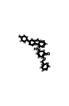 CN1CCN(c2ccc3c(c2)sc2ncnc(Nc4ccc(OCc5ccccn5)c(Cl)c4)c23)CC1